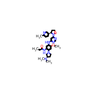 C=CC(=O)Nc1cc(Nc2cc(N3OCC[C@@H]3c3ccc(C)nc3)ncn2)c(OC)cc1N1CC[C@@H](N(C)C)C1